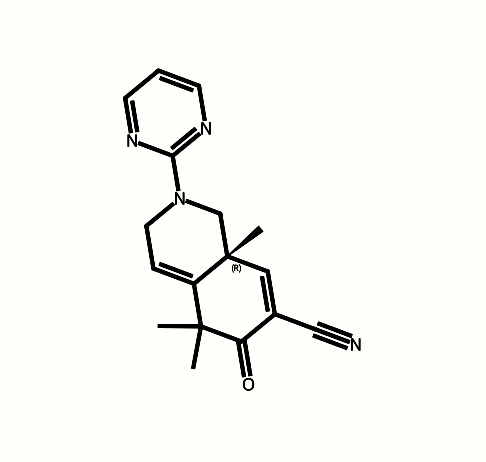 CC1(C)C(=O)C(C#N)=C[C@@]2(C)CN(c3ncccn3)CC=C12